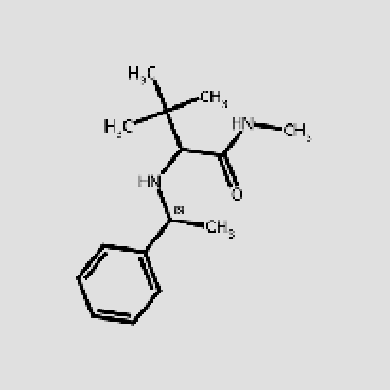 CNC(=O)C(N[C@@H](C)c1ccccc1)C(C)(C)C